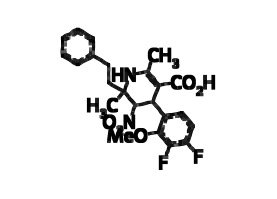 COc1c(C2C(C(=O)O)=C(C)NC(C)(CCc3ccccc3)C2[N+](=O)[O-])ccc(F)c1F